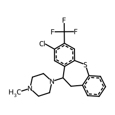 CN1CCN(C2Cc3ccccc3Sc3cc(C(F)(F)F)c(Cl)cc32)CC1